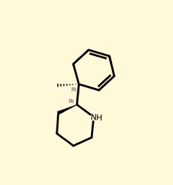 C[C@@]1([C@@H]2CCCCN2)C=CC=CC1